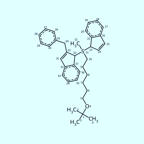 CC(C)(C)OCCCCCCS(C)(C1C=Cc2ccccc21)C1C(Cc2ccccc2)=Cc2ccccc21